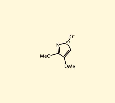 COc1c[s+]([O-])nc1OC